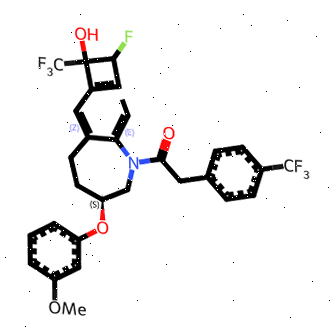 C/C=C1\C(=C/C2=CC(F)C2(O)C(F)(F)F)CC[C@H](Oc2cccc(OC)c2)CN1C(=O)Cc1ccc(C(F)(F)F)cc1